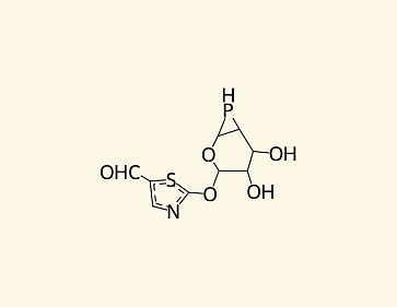 O=Cc1cnc(OC2OC3PC3C(O)C2O)s1